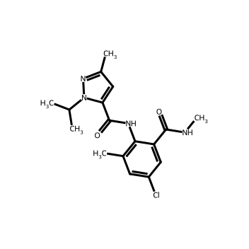 CNC(=O)c1cc(Cl)cc(C)c1NC(=O)c1cc(C)nn1C(C)C